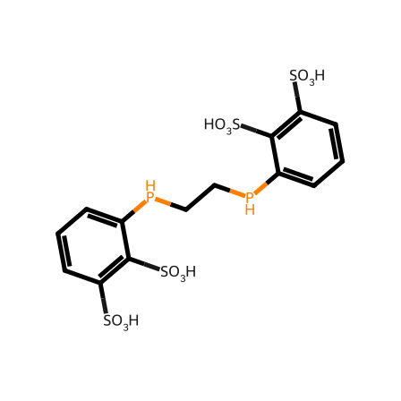 O=S(=O)(O)c1cccc(PCCPc2cccc(S(=O)(=O)O)c2S(=O)(=O)O)c1S(=O)(=O)O